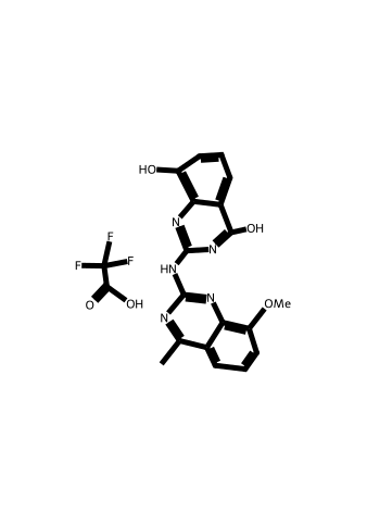 COc1cccc2c(C)nc(Nc3nc(O)c4cccc(O)c4n3)nc12.O=C(O)C(F)(F)F